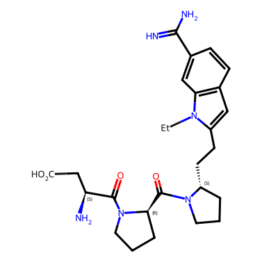 CCn1c(CC[C@@H]2CCCN2C(=O)[C@H]2CCCN2C(=O)[C@@H](N)CC(=O)O)cc2ccc(C(=N)N)cc21